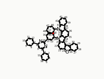 c1ccc(-c2cc(-c3ccccc3)nc(-c3cccc(-n4c5ccc6oc7ccccc7c6c5c5ccc6c7ccccc7n(-c7ccccc7)c6c54)c3)n2)cc1